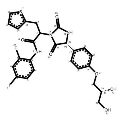 O=C(Nc1ccc(I)cc1F)C(Cc1cccs1)N1C(=O)N[C@H](c2ccc(OC[C@H](O)CO)cc2)C1=O